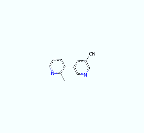 Cc1ncccc1-c1cncc(C#N)c1